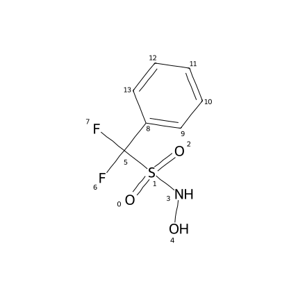 O=S(=O)(NO)C(F)(F)c1ccccc1